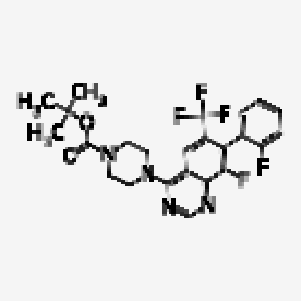 CC(C)(C)OC(=O)N1CCN(c2ncnc3c(F)c(-c4ccccc4F)c(C(F)(F)F)cc23)CC1